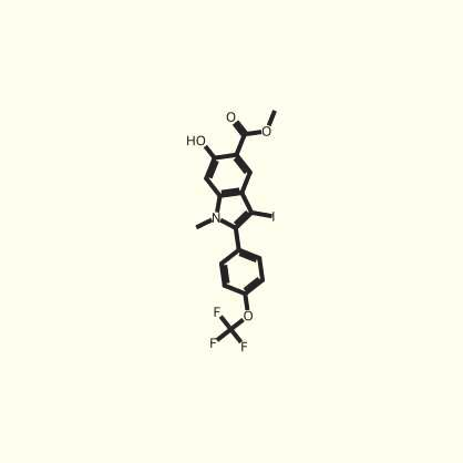 COC(=O)c1cc2c(I)c(-c3ccc(OC(F)(F)F)cc3)n(C)c2cc1O